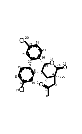 CC(=O)C[C@@]1(C)C[C@H](c2cccc(Cl)c2)[C@H](c2ccc(Cl)cc2)OC1=O